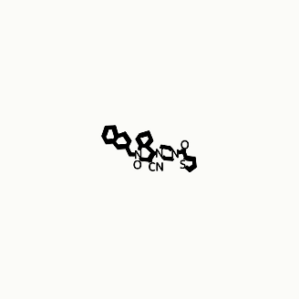 N#Cc1c(N2CCN(C(=O)c3cccs3)CC2)c2ccccc2n(Cc2ccc3ccccc3c2)c1=O